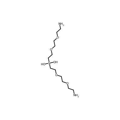 NCCOCCOCC[Si](O)(O)CCOCCOCCN